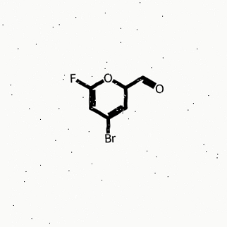 O=CC1C=C(Br)C=C(F)O1